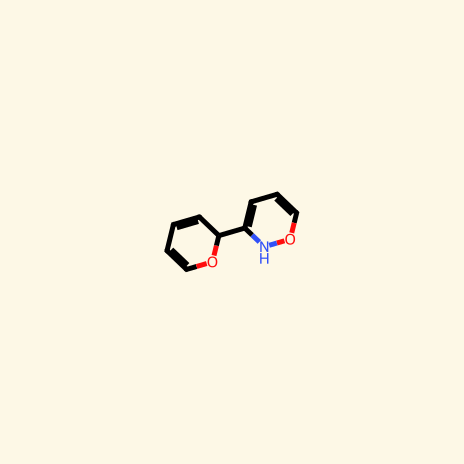 C1=CONC(C2C=CC=CO2)=C1